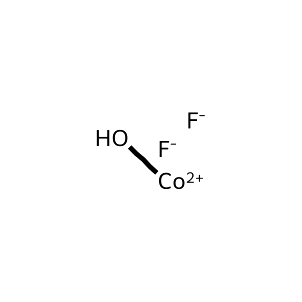 [F-].[F-].[OH][Co+2]